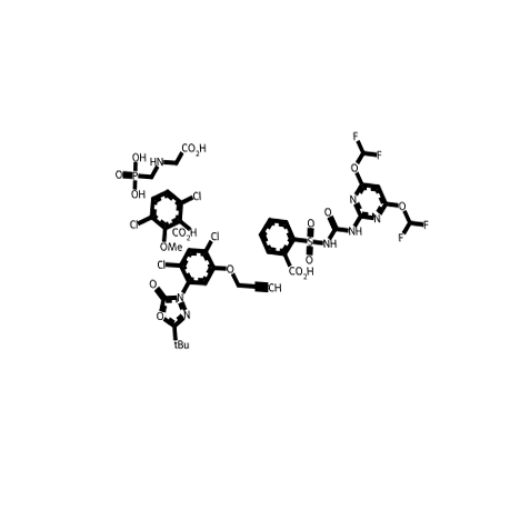 C#CCOc1cc(-n2nc(C(C)(C)C)oc2=O)c(Cl)cc1Cl.COc1c(Cl)ccc(Cl)c1C(=O)O.O=C(Nc1nc(OC(F)F)cc(OC(F)F)n1)NS(=O)(=O)c1ccccc1C(=O)O.O=C(O)CNCP(=O)(O)O